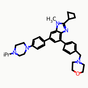 CC(C)N1CCN(c2ccc(-c3cc(-c4ccc(CN5CCOCC5)cc4)c4nc(C5CCC5)n(C)c4c3)cc2)CC1